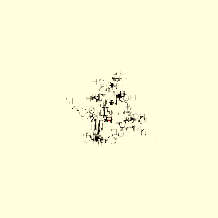 CNCCOc1ccc(S(=O)(=O)NC(=O)C[C@@H]2NC(=O)[C@H](NC(=O)[C@@H](CC(C)C)NC)[C@H](O)c3ccc(c(Cl)c3)Oc3cc4cc(c3O[C@@H]3O[C@H](CN)[C@@H](O)[C@H](O)[C@H]3O)Oc3ccc(cc3Cl)[C@@H](O)[C@@H]3NC(=O)[C@H](NC(=O)[C@@H]4NC2=O)c2ccc(O)c(c2)-c2c(O)cc(O)cc2[C@@H](C(=O)NC2C4CC5CC(C4)CC2C5)NC3=O)cc1